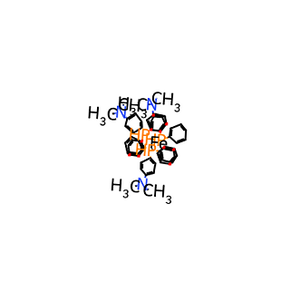 CN(C)c1ccc([PH](c2ccccc2)(c2ccccc2)[Fe]([PH](c2ccccc2)(c2ccccc2)c2ccc(N(C)C)cc2)[PH](c2ccccc2)(c2ccccc2)c2ccc(N(C)C)cc2)cc1